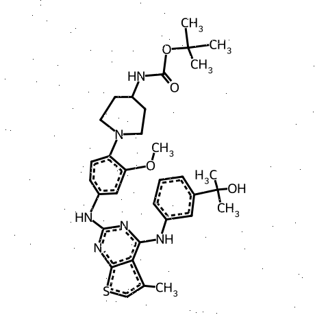 COc1cc(Nc2nc(Nc3cccc(C(C)(C)O)c3)c3c(C)csc3n2)ccc1N1CCC(NC(=O)OC(C)(C)C)CC1